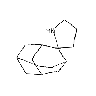 C1CNC2(C1)C1CC3CC(C1)CC2C3